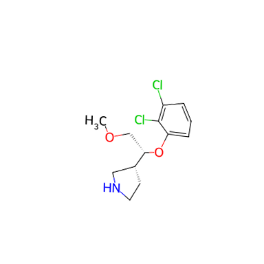 COC[C@H](Oc1cccc(Cl)c1Cl)[C@@H]1CCNC1